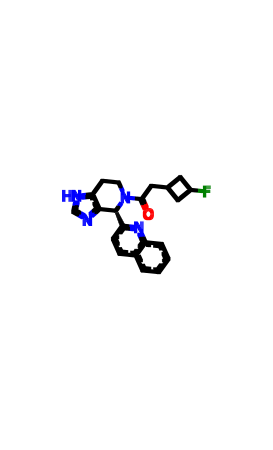 O=C(CC1CC(F)C1)N1CCc2[nH]cnc2[C@@H]1c1ccc2ccccc2n1